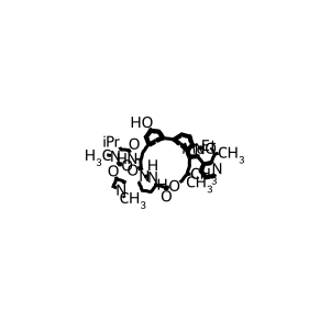 CCn1c(-c2cccnc2[C@H](C)OC)c2c3cc(ccc31)-c1cc(O)cc(c1)C[C@H](NC(=O)C(C(C)C)N(C)C(=O)OC1CN(C)C1)C(=O)N1CCC[C@H](N1)C(=O)OCC(C)(C)C2